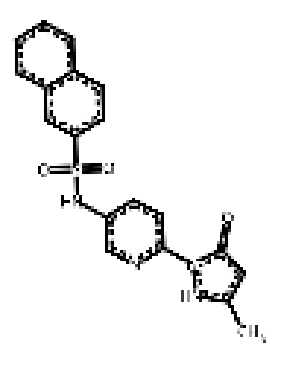 Cc1cc(=O)n(-c2ccc(NS(=O)(=O)c3ccc4ccccc4c3)cn2)[nH]1